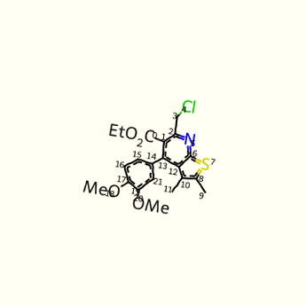 CCOC(=O)c1c(CCl)nc2sc(C)c(C)c2c1-c1ccc(OC)c(OC)c1